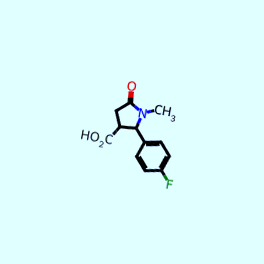 CN1C(=O)CC(C(=O)O)C1c1ccc(F)cc1